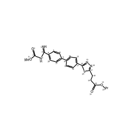 COC(=O)NC(=N)c1ccc(-c2ccc(-c3nnc(CCC(=O)OC(C)C)s3)cc2)cc1